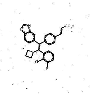 O=C(O)/C=C/c1ccc(/C(=C(\c2cccc(F)c2Cl)C2CCC2)c2ccc3scnc3c2)cc1